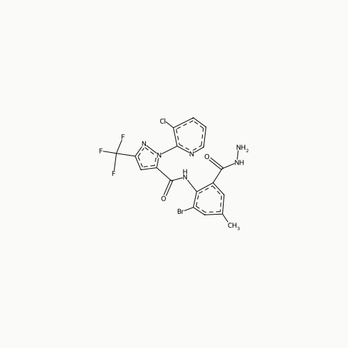 Cc1cc(Br)c(NC(=O)c2cc(C(F)(F)F)nn2-c2ncccc2Cl)c(C(=O)NN)c1